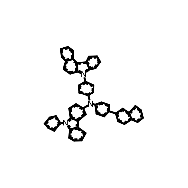 c1ccc(-n2c3ccccc3c3cc(N(c4ccc(-c5ccc6ccccc6c5)cc4)c4ccc(-n5c6ccccc6c6c7ccccc7ccc65)cc4)ccc32)cc1